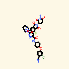 N#Cc1ccc(OC2CCC(NC(=O)c3ccc(N4CC5CCC(C4)N5Cc4cc(F)c5c(c4)C(=O)N(C4CCC(=O)NC4=O)C5=O)nn3)CC2)cc1Cl